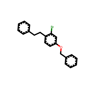 Brc1cc(OCc2ccccc2)ccc1CCc1ccccc1